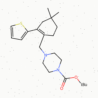 CC1(C)CCC(CN2CCN(C(=O)OC(C)(C)C)CC2)=C(c2cccs2)C1